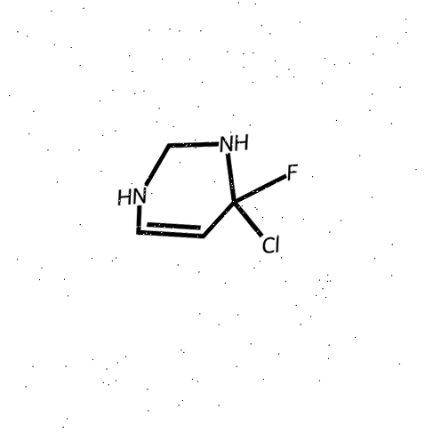 FC1(Cl)C=CNCN1